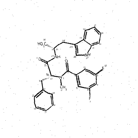 CN(C(=O)c1cc(F)cc(F)c1)[C@H](Cc1ccccc1)C(=O)N[C@@H](Cc1c[nH]c2ccccc12)C(=O)O